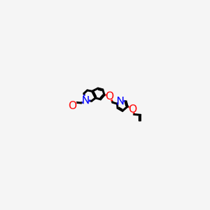 C=CCOc1ccc(COc2ccc3c(c2)CN(CC=O)CC3)nc1